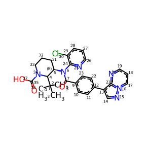 CC(C)(C)C1[C@H](N(C(=O)c2ccc(-c3cnn4cccnc34)cc2)c2ncccc2Cl)CCCN1C(=O)O